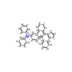 C1=Cc2c(c3c4ccccc4c4cc(N(c5ccccc5)c5ccccc5)ccc4c3c3ccccc23)C=1